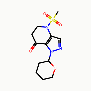 CS(=O)(=O)N1CCC(=O)c2c1cnn2C1CCCCO1